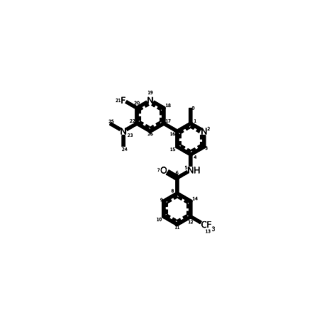 Cc1ncc(NC(=O)c2cccc(C(F)(F)F)c2)cc1-c1cnc(F)c(N(C)C)c1